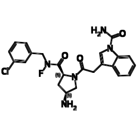 NC(=O)n1cc(CC(=O)N2C[C@@H](N)C[C@H]2C(=O)N(F)Cc2cccc(Cl)c2)c2ccccc21